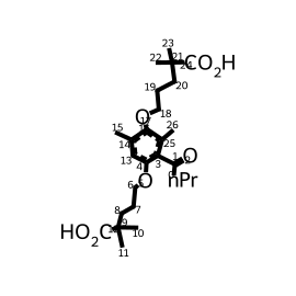 CCCC(=O)c1c(OCCCC(C)(C)C(=O)O)cc(C)c(OCCCC(C)(C)C(=O)O)c1C